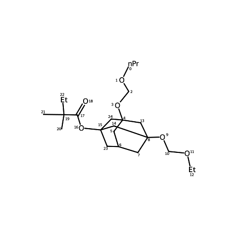 CCCOCOC12CC3CC(OCOCC)(C1)CC(OC(=O)C(C)(C)CC)(C3)C2